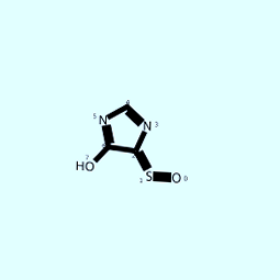 O=S=C1N=CN=C1O